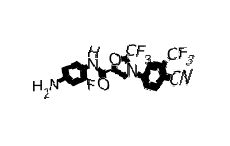 N#Cc1ccc(N2C[C@@H](C(=O)Nc3ccc(N)cc3F)O[C@@H]2C(F)(F)F)cc1C(F)(F)F